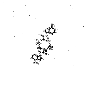 Nc1ncnc2c1ncn2[C@@H]1O[C@@H]2OP(=O)(O)OC3[C@@H](COP(=O)(O)O[C@@H]2C1O)O[C@@H](n1cnc2c(N)ncnc21)[C@H]3O